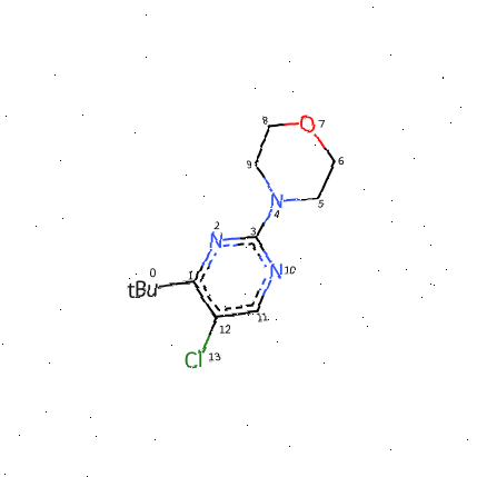 CC(C)(C)c1nc(N2CCOCC2)ncc1Cl